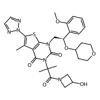 COc1ccccc1[C@H](Cn1c(=O)n(C(C)(C)C(=O)N2CC(O)C2)c(=O)c2c(C)c(-n3nccn3)sc21)OC1CCOCC1